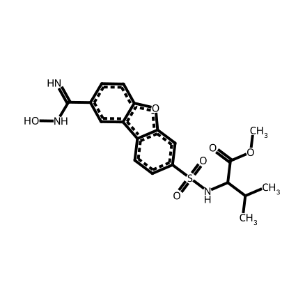 COC(=O)C(NS(=O)(=O)c1ccc2c(c1)oc1ccc(C(=N)NO)cc12)C(C)C